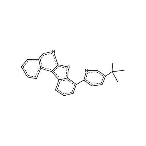 CC(C)(C)c1ccc(-c2cccc3c2oc2ncc4ccccc4c23)nc1